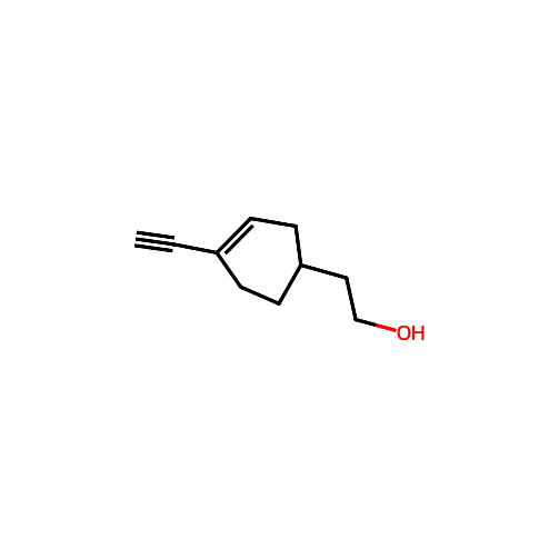 C#CC1=CCC(CCO)CC1